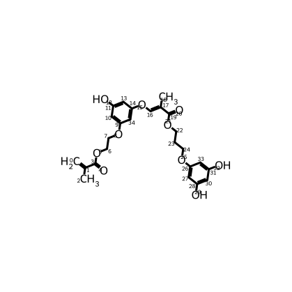 C=C(C)C(=O)OCCOc1cc(O)cc(O/C=C(\C)C(=O)OCCCOc2cc(O)cc(O)c2)c1